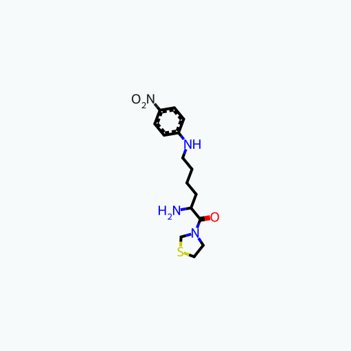 NC(CCCCNc1ccc([N+](=O)[O-])cc1)C(=O)N1CCSC1